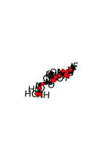 CN(CCCCNC(=O)c1ccc(NC(=O)c2ncc(-c3cn(C4CC4(F)F)nc3C(F)(F)F)n2C)cc1Cl)C(=O)N[C@H]1CNC[C@@H]1O.O=CO